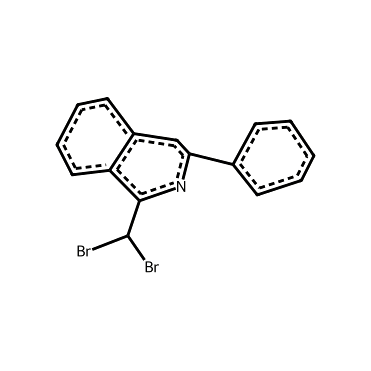 BrC(Br)c1nc(-c2ccccc2)cc2ccccc12